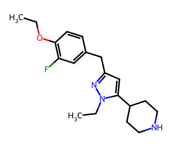 CCOc1ccc(Cc2cc(C3CCNCC3)n(CC)n2)cc1F